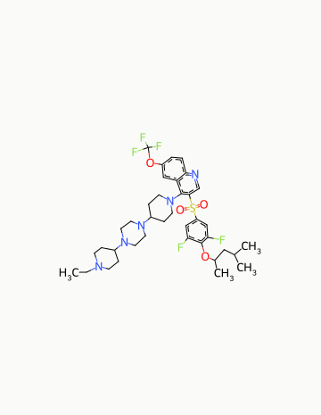 CCN1CCC(N2CCN(C3CCN(c4c(S(=O)(=O)c5cc(F)c(OC(C)CC(C)C)c(F)c5)cnc5ccc(OC(F)(F)F)cc45)CC3)CC2)CC1